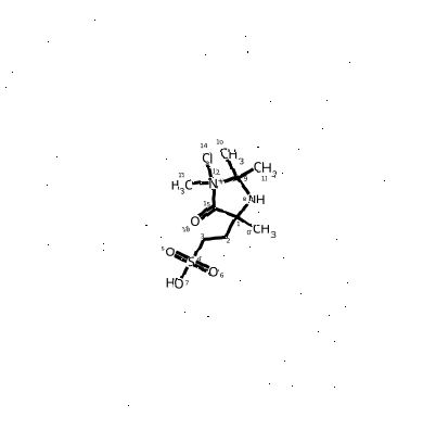 CC1(CCS(=O)(=O)O)NC(C)(C)[N+](C)(Cl)C1=O